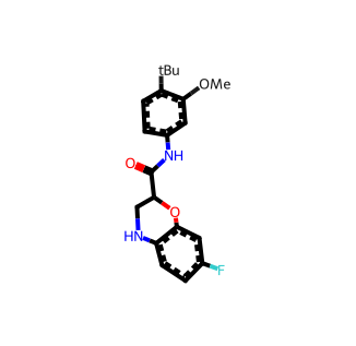 COc1cc(NC(=O)C2CNc3ccc(F)cc3O2)ccc1C(C)(C)C